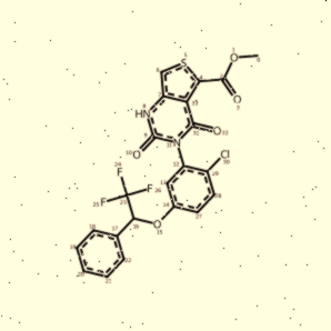 COC(=O)c1scc2[nH]c(=O)n(-c3cc(OC(c4ccccc4)C(F)(F)F)ccc3Cl)c(=O)c12